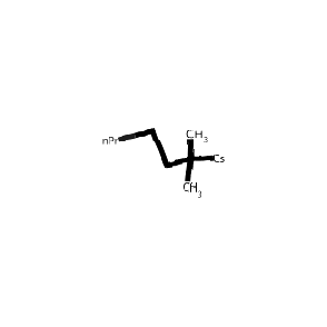 CCCCC[C](C)(C)[Cs]